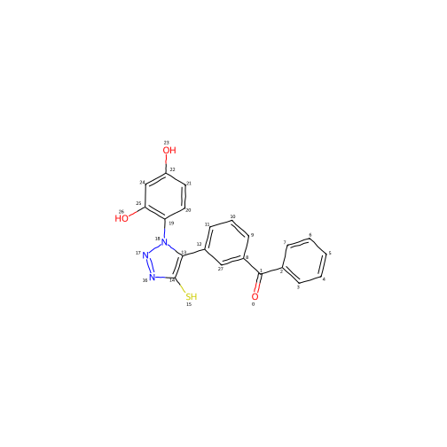 O=C(c1ccccc1)c1cccc(-c2c(S)nnn2-c2ccc(O)cc2O)c1